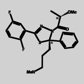 CNCCC[C@@]1(c2ccccc2)SC(c2cc(F)ccc2F)=NN1C(=O)[C@H](C)OC